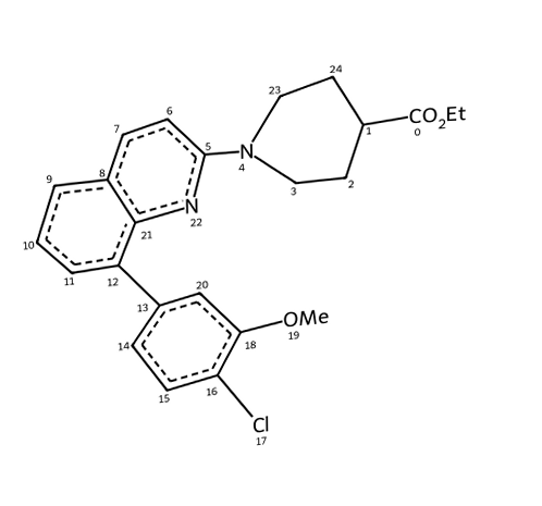 CCOC(=O)C1CCN(c2ccc3cccc(-c4ccc(Cl)c(OC)c4)c3n2)CC1